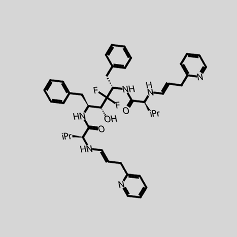 CC(C)[C@H](NC=CCc1ccccn1)C(=O)N[C@@H](Cc1ccccc1)[C@@H](O)C(F)(F)[C@H](Cc1ccccc1)NC(=O)[C@@H](NC=CCc1ccccn1)C(C)C